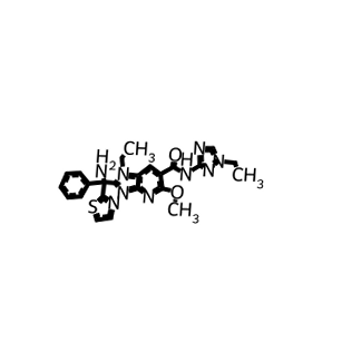 CCn1cnc(NC(=O)c2cc3c(nc2OC)nc(C(N)(c2ccccc2)c2nccs2)n3CC)n1